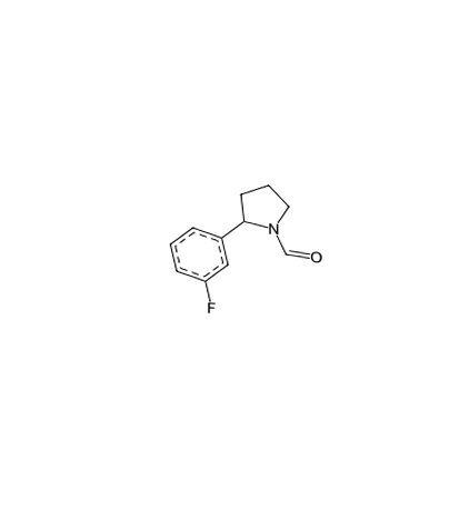 O=CN1CCCC1c1cccc(F)c1